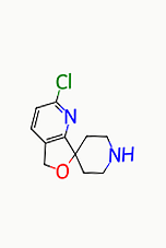 Clc1ccc2c(n1)C1(CCNCC1)OC2